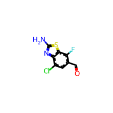 Nc1nc2c(Cl)cc(C=O)c(F)c2s1